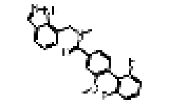 COc1cc(C(=O)N(C)Cc2cccc3cn[nH]c23)ccc1-c1c(F)cccc1F